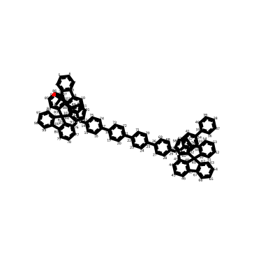 CC1(C)c2ccccc2-c2ccc(N(c3ccc(-c4ccc(-c5ccc(-c6ccc(N(c7ccc(-c8ccccc8)cc7)c7cccc8c7C7(c9ccccc9-c9ccccc97)c7ccccc7-8)cc6)cc5)cc4)cc3)c3cccc4c3C3(c5ccccc5-c5ccccc53)c3ccccc3-4)cc21